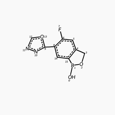 OB1OCc2cc(F)c(-c3nnco3)cc21